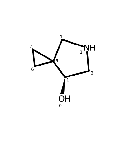 O[C@@H]1CNCC12CC2